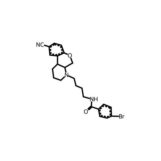 N#Cc1ccc2c(c1)C1CCCN(CCCCNC(=O)c3ccc(Br)cc3)C1CO2